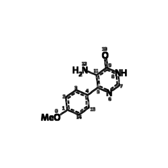 COc1ccc(-c2nc[nH]c(=O)c2N)cc1